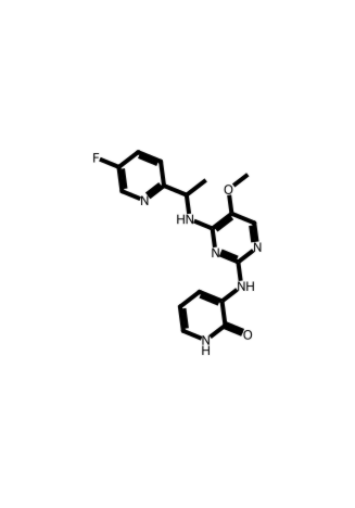 COc1cnc(Nc2ccc[nH]c2=O)nc1NC(C)c1ccc(F)cn1